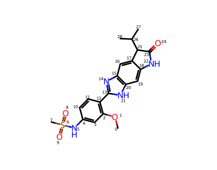 COc1cc(NS(C)(=O)=O)ccc1-c1nc2cc3c(cc2[nH]1)NC(=O)C3C(C)C